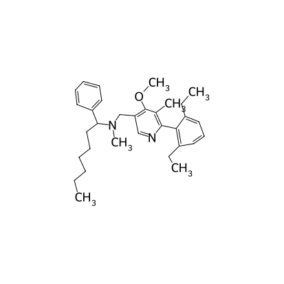 CCCCCCC(c1ccccc1)N(C)Cc1cnc(-c2c(CC)cccc2CC)c(C)c1OC